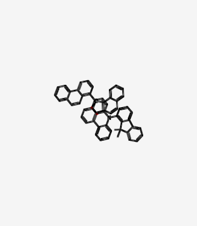 CC1(C)c2ccccc2-c2cccc(N(c3ccc(-c4cccc5c4ccc4ccccc45)cc3)c3ccccc3-c3cccc4oc5c6ccccc6ccc5c34)c21